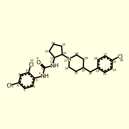 O=C(Nc1ccc(Cl)cc1Cl)NC1CCCC1N1CCC(Cc2ccc(Cl)cc2)CC1